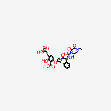 CCN1CCN(C(=O)N[C@@H](C(=O)N2CC(Oc3ccc(CCB(O)O)c(O)c3C(=O)O)C2)c2ccccc2)C(=O)C1=O